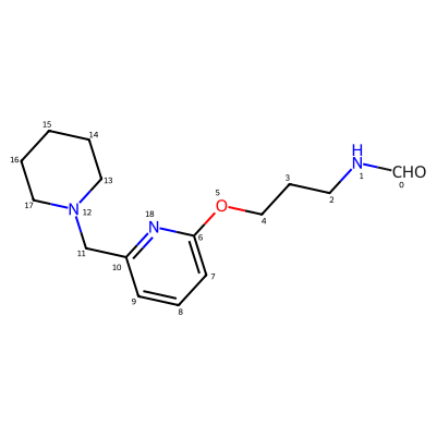 O=CNCCCOc1cccc(CN2CCCCC2)n1